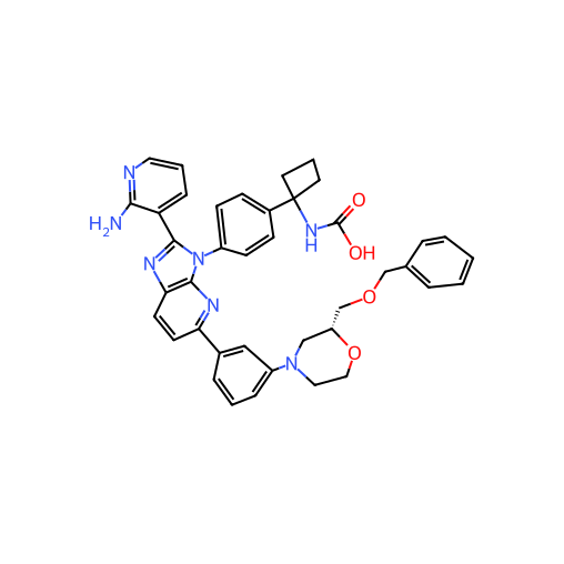 Nc1ncccc1-c1nc2ccc(-c3cccc(N4CCO[C@@H](COCc5ccccc5)C4)c3)nc2n1-c1ccc(C2(NC(=O)O)CCC2)cc1